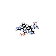 CN(CCO)C(c1ccccc1)c1ccnn1C.Cn1nccc1C(NCCO)c1ccccc1